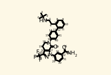 CC(C)(C)NCCc1ccccc1-c1ccc(N2CCc3c(C(F)(F)F)nn(-c4cccc(C(N)=O)c4)c3C2=O)cc1